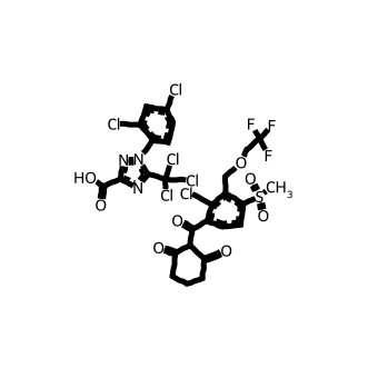 CS(=O)(=O)c1ccc(C(=O)C2C(=O)CCCC2=O)c(Cl)c1COCC(F)(F)F.O=C(O)c1nc(C(Cl)(Cl)Cl)n(-c2ccc(Cl)cc2Cl)n1